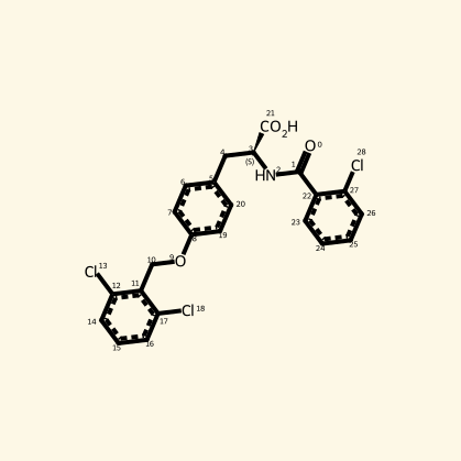 O=C(N[C@@H](Cc1ccc(OCc2c(Cl)cccc2Cl)cc1)C(=O)O)c1ccccc1Cl